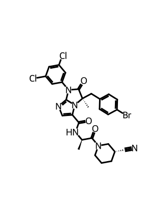 C[C@@H](NC(=O)c1cnc2n1[C@](C)(Cc1ccc(Br)cc1)C(=O)N2c1cc(Cl)cc(Cl)c1)C(=O)N1CCC[C@@H](C#N)C1